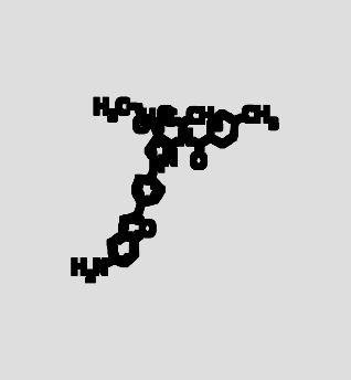 CCOC(=O)c1cn(-c2ccc(-c3cc4cc(N)ccc4o3)cc2)nc1N(C(=O)C1CCC(C)CC1)C(C)C